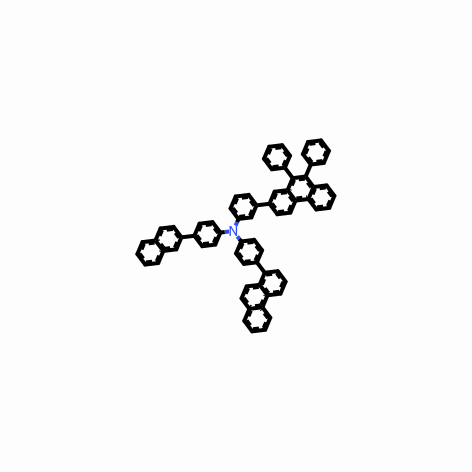 c1ccc(-c2c(-c3ccccc3)c3cc(-c4cccc(N(c5ccc(-c6ccc7ccccc7c6)cc5)c5ccc(-c6cccc7c6ccc6ccccc67)cc5)c4)ccc3c3ccccc23)cc1